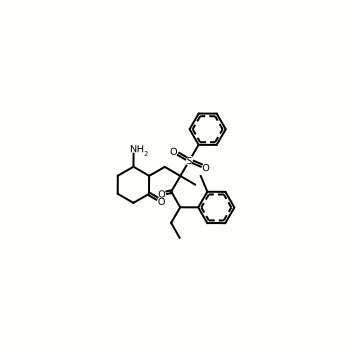 CCC(C(=O)C(C)(CC1C(=O)CCCC1N)S(=O)(=O)c1ccccc1)c1ccccc1C